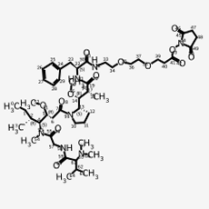 CC[C@@H](C)[C@@H]([C@@H](CC(=O)N1CCC[C@H]1[C@H](OC)[C@@H](C)C(=O)N[C@@H](Cc1ccccc1)C(=O)NCCOCCOCCC(=O)ON1C(=O)CCC1=O)OC)N(C)C(=O)CNC(=O)C(C(C)C)N(C)C